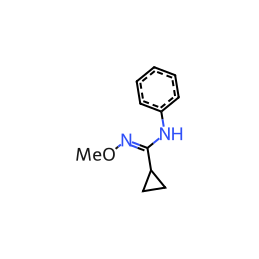 CON=C(Nc1ccccc1)C1CC1